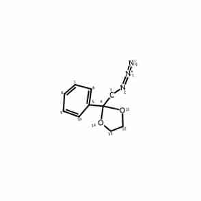 [N-]=[N+]=NCC1(c2ccccc2)OCCO1